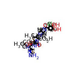 C[C@@H]1S[C@@H]2[C@H](NC(=O)/C(=N\OC(C)(C)C(=O)O)c3csc(N)n3)C(=O)N2C(C(=O)O)=C1C[N+]1(C)C[C@H]2CN(C(=O)c3ccc(O)c(O)c3Cl)C[C@H]2C1